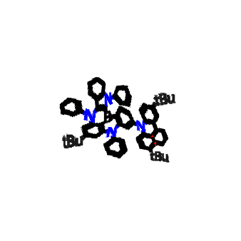 CC(C)(C)c1ccc(N(c2ccc3c(c2)N(c2ccccc2)c2cc(C(C)(C)C)cc4c2B3c2c(c3c(n2-c2ccccc2)CCCC3)N4c2ccccc2)c2ccc(C(C)(C)C)cc2-c2ccccc2)cc1